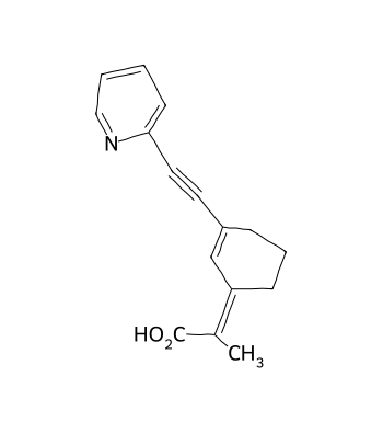 CC(C(=O)O)=C1C=C(C#Cc2ccccn2)CCC1